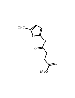 COC(=O)CCC(=O)Oc1ccc(C=O)o1